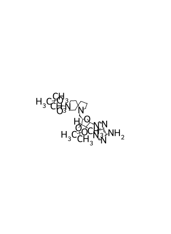 CC(C)(C)OC(=O)N1CCC2(CCCN2C[C@H]2O[C@@H](n3cnc4c(N)ncnc43)[C@]3(C)OC(C)(C)O[C@H]23)CC1